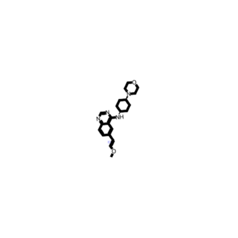 CO/C=C/c1ccc2ncnc(N[C@H]3CC[C@H](N4CCOCC4)CC3)c2c1